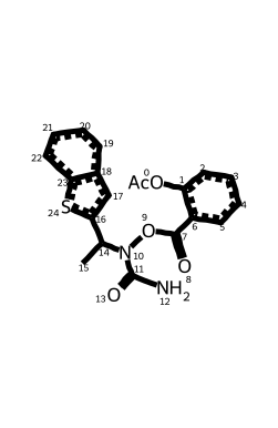 CC(=O)Oc1ccccc1C(=O)ON(C(N)=O)C(C)c1cc2ccccc2s1